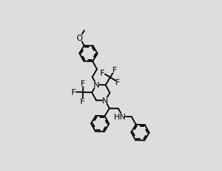 COc1ccc(CCN2C(C(F)(F)F)CN(C(CNCc3ccccc3)c3ccccc3)CC2C(F)(F)F)cc1